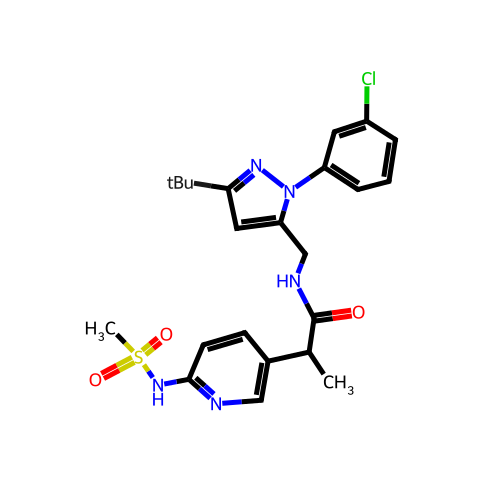 CC(C(=O)NCc1cc(C(C)(C)C)nn1-c1cccc(Cl)c1)c1ccc(NS(C)(=O)=O)nc1